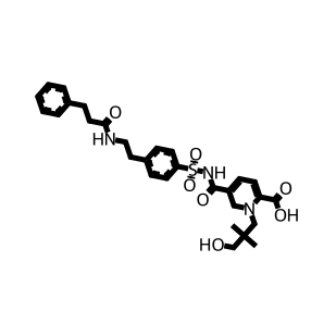 CC(C)(CO)CN1CC(C(=O)NS(=O)(=O)c2ccc(CCNC(=O)CCc3ccccc3)cc2)=CC=C1C(=O)O